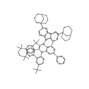 CC(C)(C)c1ccc(N2C3=C(B4c5c(cc(-c6ccccc6)cc52)-c2cc(C56CCCC(CCC5)C6)cc5c6cc(C78CCCC(CCC7)C8)ccc6n4c25)C(C)(C)c2cc4c(cc23)C(C)(C)CCC4(C)C)c(-c2ccccc2)c1